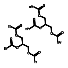 CCC(=O)OCC(COC(=O)CC)OC(=O)CC.CCCC(=O)OCC(COC(=O)CCC)OC(=O)CCC